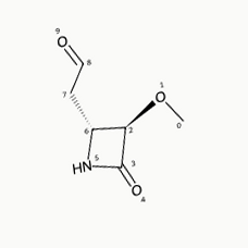 CO[C@H]1C(=O)N[C@@H]1CC=O